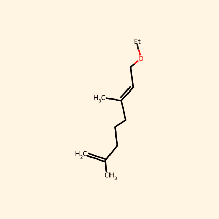 C=C(C)CCC/C(C)=C/COCC